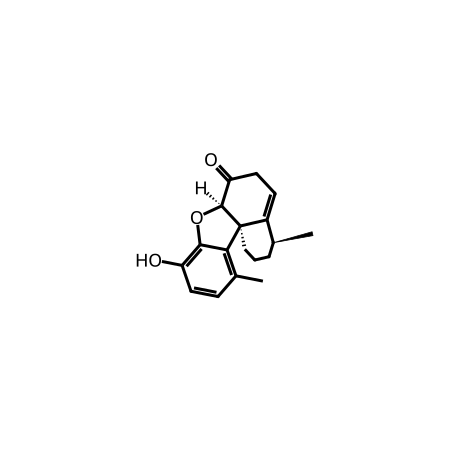 Cc1ccc(O)c2c1[C@]13CCC[C@H](C)C1=CCC(=O)[C@@H]3O2